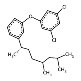 CC(C)CC(C)CC[C@H](C)c1cccc(Oc2cc(Cl)cc(Cl)c2)c1